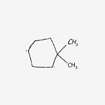 CC1(C)[CH]C[CH]CC1